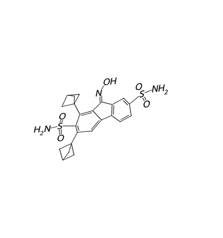 NS(=O)(=O)c1ccc2c(c1)C(=NO)c1c-2cc(C23CC(C2)C3)c(S(N)(=O)=O)c1C12CC(C1)C2